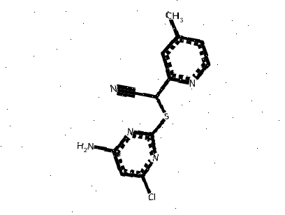 Cc1ccnc(C(C#N)Sc2nc(N)cc(Cl)n2)c1